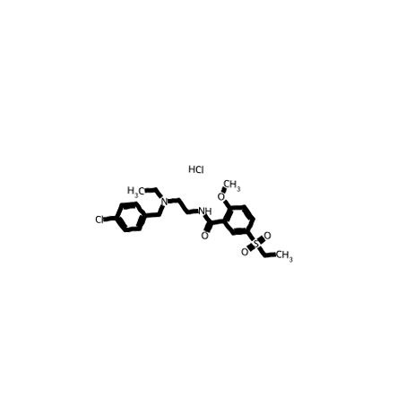 CCN(CCNC(=O)c1cc(S(=O)(=O)CC)ccc1OC)Cc1ccc(Cl)cc1.Cl